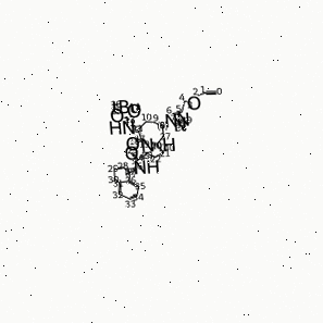 C#CCOCc1cn([C@H]2CC[C@H](NC(=O)OC(C)(C)C)C(=O)N3[C@H](CC[C@H]3C(=O)N[C@@H]3CCCc4ccccc43)C2)nn1